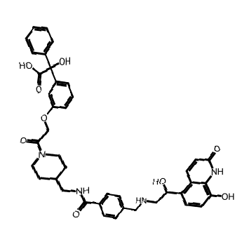 O=C(NCC1CCN(C(=O)COc2cccc(C(O)(C(=O)O)c3ccccc3)c2)CC1)c1ccc(CNCC(O)c2ccc(O)c3[nH]c(=O)ccc23)cc1